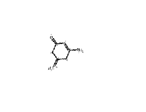 C=C1CC(=O)C=C(N)C1